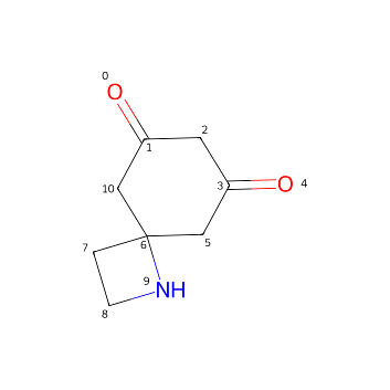 O=C1CC(=O)CC2(CCN2)C1